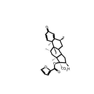 C[C@@H]1CC2C3C[C@H](F)C4=CC(=O)C=C[C@]4(C)[C@@]3(F)[C@@H](C)C[C@]2(C)[C@@]1(OC(=O)c1ccco1)C(=O)O